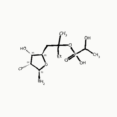 B[C@@H]1O[C@H](CC(C)(CC)OP(=O)(O)C(C)O)[C@@H](O)[C@H]1Cl